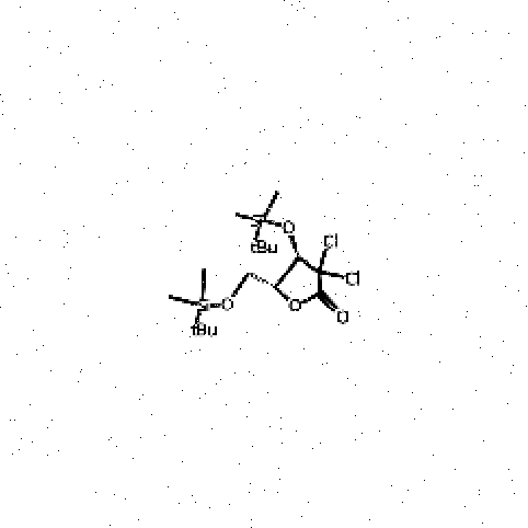 CC(C)(C)[Si](C)(C)OC[C@H]1OC(=O)C(Cl)(Cl)[C@@H]1O[Si](C)(C)C(C)(C)C